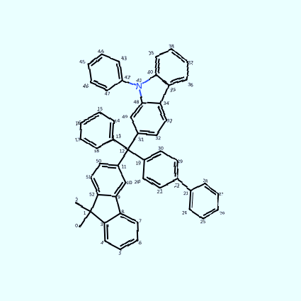 CC1(C)c2ccccc2-c2cc(C(c3ccccc3)(c3ccc(-c4ccccc4)cc3)c3ccc4c5ccccc5n(-c5ccccc5)c4c3)ccc21